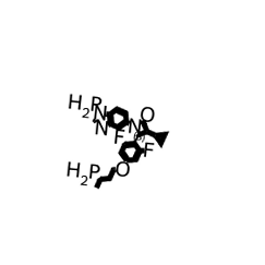 CC(P)CCOc1cc(F)c([C@@H]2C(C3CC3)C(=O)N2c2ccc3c(c2)ncn3P)c(F)c1